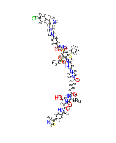 Cc1ncsc1-c1ccc([C@H](C)NC(=O)[C@@H]2C[C@@H](O)CN2C(=O)[C@@H](NC(=O)CCCCCC(=O)N2CCN(CC[C@H](CSc3ccccc3)Nc3ccc(S(=O)(=O)NC(=O)c4ccc(N5CCN(CC6=C(c7ccc(Cl)cc7)CCN(C)C6)CC5)cc4)cc3S(=O)(=O)C(F)(F)F)CC2)C(C)(C)C)cc1